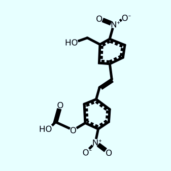 O=C(O)Oc1cc(C=Cc2ccc([N+](=O)[O-])c(CO)c2)ccc1[N+](=O)[O-]